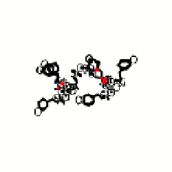 C[Si](C)(CC[Si](C)(C)O[Si](O[Si](C)(C)CCC1CCC2OC2C1)(O[Si](C)(C)CCC1CCC2OC2C1)O[Si](C)(C)CCC1CCC2OC2C1)O[Si](C)(C)O[Si](C)(C)CC[Si](C)(C)O[Si](O[Si](C)(C)CCC1CCC2OC2C1)(O[Si](C)(C)CCC1CCC2OC2C1)O[Si](C)(C)CCC1CCC2OC2C1